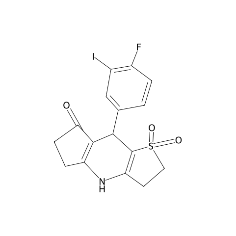 O=C1CCC2=C1C(c1ccc(F)c(I)c1)C1=C(CCS1(=O)=O)N2